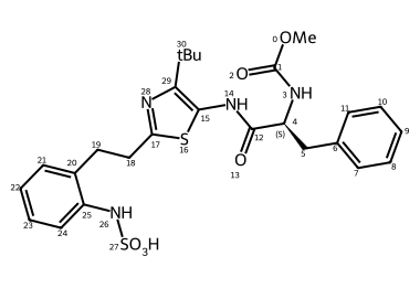 COC(=O)N[C@@H](Cc1ccccc1)C(=O)Nc1sc(CCc2ccccc2NS(=O)(=O)O)nc1C(C)(C)C